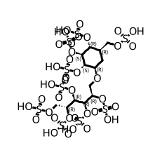 O=S(=O)(O)OC[C@H]1C[C@@H](OC[C@@H](OS(=O)(=O)O)[C@@H](OS(=O)(=O)O)[C@H](OS(=O)(=O)O)[C@@H](COS(=O)(=O)O)OS(=O)(=O)O)[C@H](OS(=O)(=O)O)[C@@H](OS(=O)(=O)O)[C@@H]1OS(=O)(=O)O